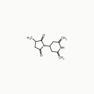 C=C1CC(N2C(=O)CC(C)C2=O)CC(=C)N1